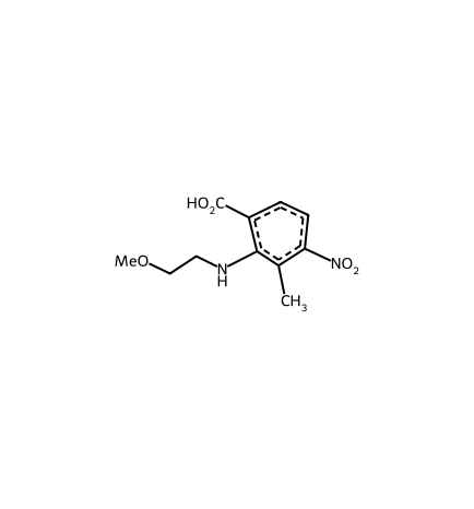 COCCNc1c(C(=O)O)ccc([N+](=O)[O-])c1C